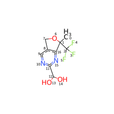 CC1(C(F)(F)F)OCc2cnc(C(O)O)nc21